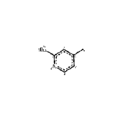 Cc1ccnc(C(C)(C)C)c1